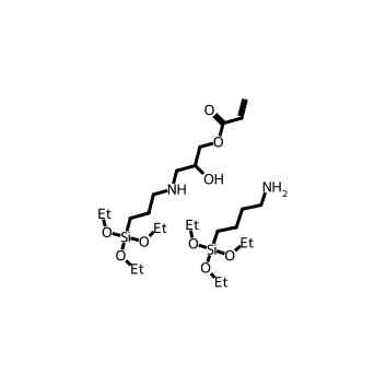 C=CC(=O)OCC(O)CNCCC[Si](OCC)(OCC)OCC.CCO[Si](CCCCN)(OCC)OCC